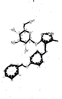 Cc1[nH]nc(O[C@@H]2O[C@H](CO)[C@@H](O)[C@H](O)[C@H]2O)c1Cc1ccc(OCc2ccccc2)cc1